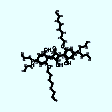 CCCCCCCCOC1=CC(=[PH](CCC)CCC)C=C(O)/C1=C1\C(=O)C(c2c(O)cc(N(CCC)CCC)cc2OCCCCCCCC)=C1O